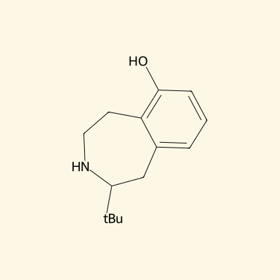 CC(C)(C)C1Cc2cccc(O)c2CCN1